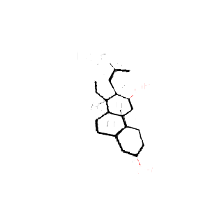 C[C@H](C(=O)O)[C@H]1CC[C@H]2[C@@H]3CCC4C[C@H](O)CC[C@]4(C)[C@H]3C[C@H](O)[C@]12C